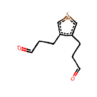 O=CCCc1cscc1CCC=O